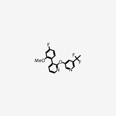 COc1cc(F)ccc1-c1cccnc1Oc1cncc(C(C)(F)F)c1